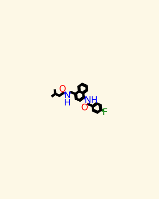 CC(C)CC(=O)NCc1ccc(NC(=O)c2ccc(F)cc2)c2ccccc12